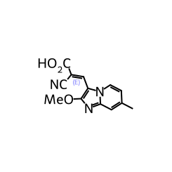 COc1nc2cc(C)ccn2c1/C=C(\C#N)C(=O)O